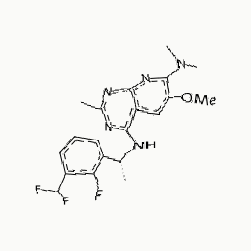 COc1cc2c(N[C@H](C)c3cccc(C(F)F)c3F)nc(C)nc2nc1N(C)C